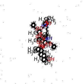 COC1C[C@]2(C)C(=CCC3C4(C)CC[C@H](C)[C@](C)(CO)[C@@H]4CC[C@@]32C)C2CC(C)(C)CC[C@]12C(=O)O[C@@H]1OC(COCc2ccccc2)[C@H](NC(=O)CCCCCNC(=O)OC(C)(C)C)C(C)C1O[C@@H]1OC(C)[C@H](O[C@@H]2OC[C@@H](OCc3ccccc3)C(OCc3ccccc3)C2C)C2OC(C)(C)OC21